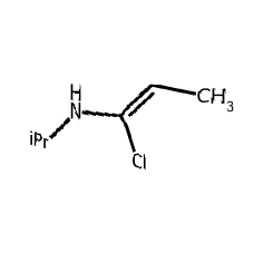 CC=C(Cl)NC(C)C